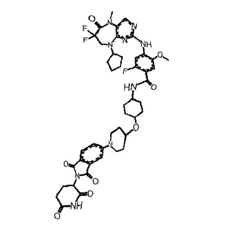 COc1cc(C(=O)NC2CCC(OC3CCN(c4ccc5c(c4)C(=O)N(C4CCC(=O)NC4=O)C5=O)CC3)CC2)c(F)cc1Nc1ncc2c(n1)N(C1CCCC1)CC(F)(F)C(=O)N2C